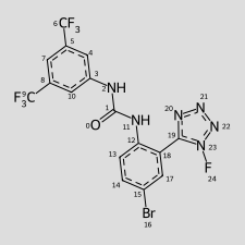 O=C(Nc1cc(C(F)(F)F)cc(C(F)(F)F)c1)Nc1ccc(Br)cc1-c1nnnn1F